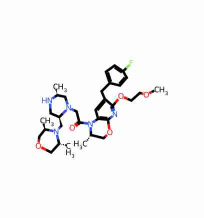 COCCOc1nc2c(cc1Cc1ccc(F)cc1)N(C(=O)CN1C[C@@H](C)NC[C@@H]1CN1[C@H](C)COC[C@H]1C)[C@@H](C)CO2